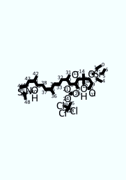 CC[Si](CC)(CC)OC(CC(=O)O)C(C)(C)C(=O)C(C)C(OC(=O)OCC(Cl)(Cl)Cl)C(C)C/C=C/C(C)=CCC(O)C(C)=Cc1csc(C)n1